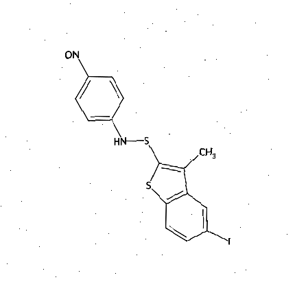 Cc1c(SNc2ccc(N=O)cc2)sc2ccc(I)cc12